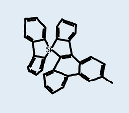 Cc1ccc2c3c(c4ccccc4c2c1)[Si]1(c2ccccc2-c2ccccc21)c1ccccc1-3